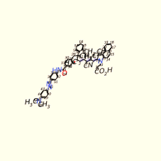 C=C(/C=C/C(C#N)=C/C=C1/N(CCC(=O)O)c2ccc3ccccc3c2C1(C)C)C(C)(Cc1ccc(C(=O)Nc2ccc(/N=N/c3ccc(N(C)C)cc3)cc2)cc1)c1ccccc1C